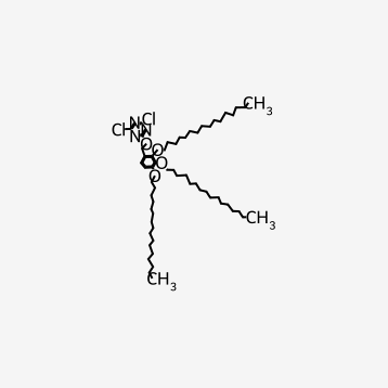 CCCCCCCCCCCCCCCCOc1ccc(COc2nc(Cl)nc(Cl)n2)c(OCCCCCCCCCCCCCCCC)c1OCCCCCCCCCCCCCCCC